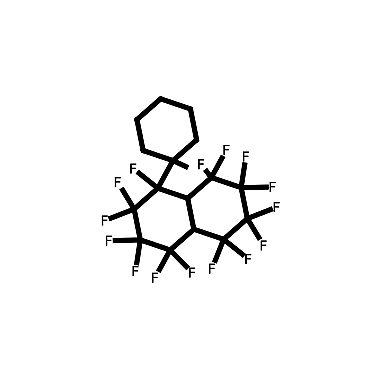 CC1(C2(F)C3C(C(F)(F)C(F)(F)C(F)(F)C3(F)F)C(F)(F)C(F)(F)C2(F)F)CCCCC1